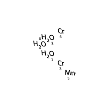 O.O.O.[Cr].[Cr].[Mn]